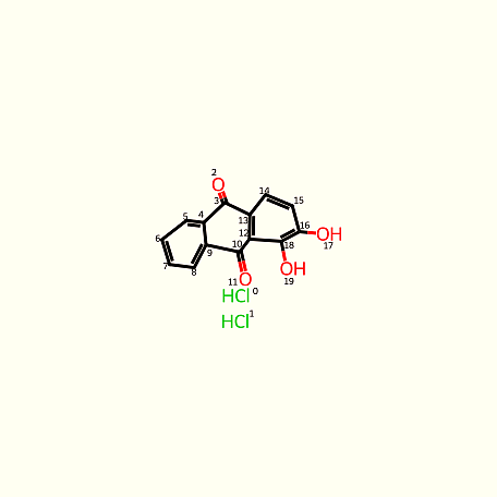 Cl.Cl.O=C1c2ccccc2C(=O)c2c1ccc(O)c2O